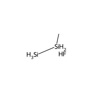 C[SiH2][SiH3].F